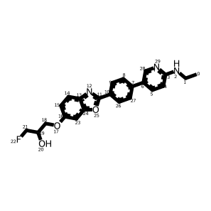 CCNc1ccc(-c2ccc(-c3nc4ccc(OCC(O)CF)cc4o3)cc2)cn1